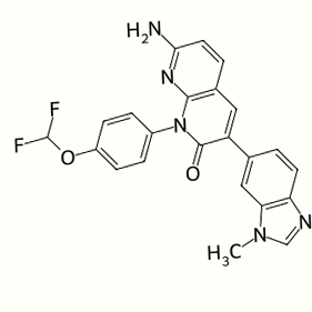 Cn1cnc2ccc(-c3cc4ccc(N)nc4n(-c4ccc(OC(F)F)cc4)c3=O)cc21